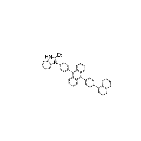 CCC1Nc2ccccc2N1c1ccc(-c2c3ccccc3c(-c3ccc(-c4cccc5ccccc45)cc3)c3ccccc23)cc1